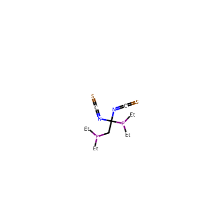 CCP(CC)CC(N=C=S)(N=C=S)P(CC)CC